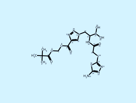 CC(C)(C)C(=O)OCOC(=O)c1cn(CC(NC(=O)CSc2nnc(N)s2)B(O)O)nn1